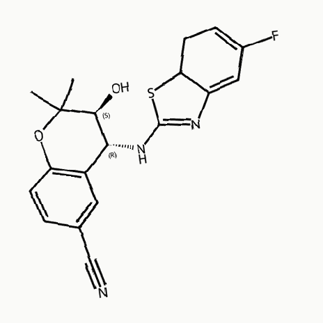 CC1(C)Oc2ccc(C#N)cc2[C@@H](NC2=NC3=CC(F)=CCC3S2)[C@@H]1O